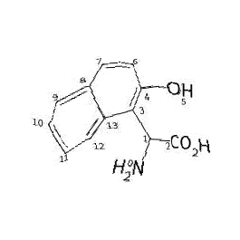 NC(C(=O)O)c1c(O)ccc2ccccc12